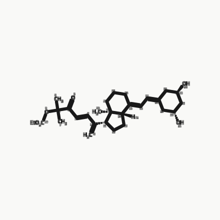 C=C(/C=C/C(=O)C(C)(C)OC(=O)OCC)[C@H]1CC[C@H]2/C(=C/C=C3C[C@@H](O)C[C@H](O)C3)CCC[C@]12C